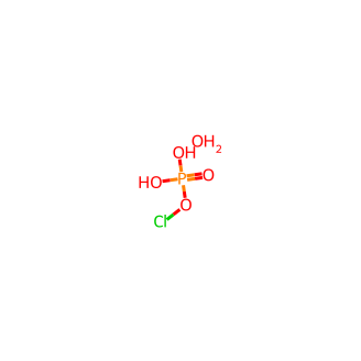 O.O=P(O)(O)OCl